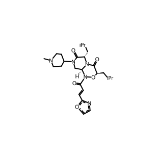 CC(C)C[C@H]1ON(C(=O)/C=C/c2ncco2)[C@H]2CN(C3CCN(C)CC3)C(=O)[C@H](CC(C)C)N2C1=O